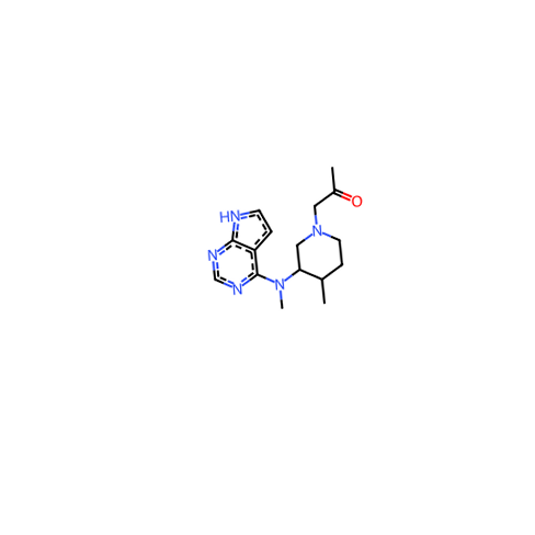 CC(=O)CN1CCC(C)C(N(C)c2ncnc3[nH]ccc23)C1